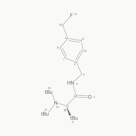 CC(C)(C)[C@H](C(=O)NCc1ccc(CF)cc1)N(C(C)(C)C)C(C)(C)C